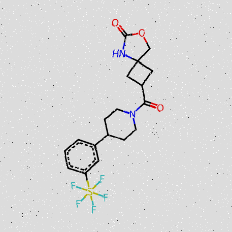 O=C1NC2(CO1)CC(C(=O)N1CCC(c3cccc(S(F)(F)(F)(F)F)c3)CC1)C2